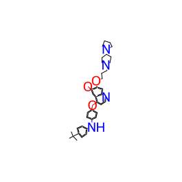 COc1cc2c(Oc3ccc(Nc4ccc(C(C)(C)C)cc4)cc3)ccnc2cc1OCCCN1CCC(N2CCCC2)CC1